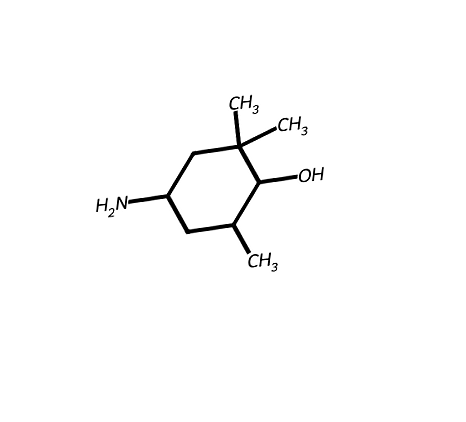 CC1CC(N)CC(C)(C)C1O